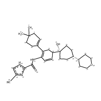 CC1(C)CC=C(C2=C(NC(=O)c3nc(C#N)c[nH]3)C=CC([C@]3(O)CC[C@@H](N4CCOCC4)CC3)C2)CC1